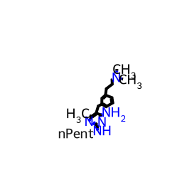 CCCCCNc1nc(C)c(Cc2cccc(CCCN(C)C)c2)c(N)n1